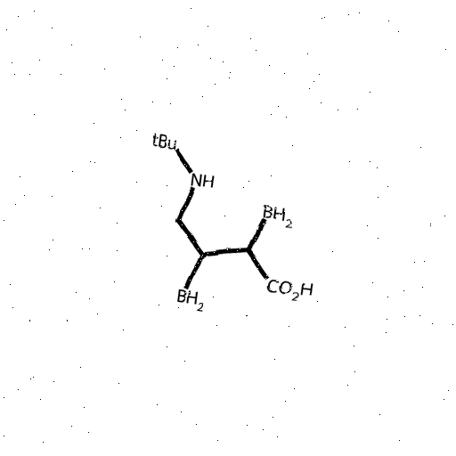 BC(CNC(C)(C)C)C(B)C(=O)O